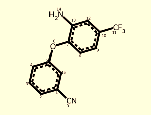 N#Cc1cccc(Oc2ccc(C(F)(F)F)cc2N)c1